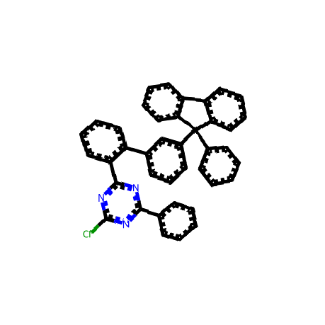 Clc1nc(-c2ccccc2)nc(-c2ccccc2-c2cccc(C3(c4ccccc4)c4ccccc4-c4ccccc43)c2)n1